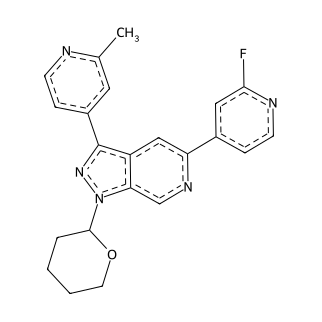 Cc1cc(-c2nn(C3CCCCO3)c3cnc(-c4ccnc(F)c4)cc23)ccn1